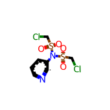 O=S(=O)(CCl)N(c1[c]nccc1)S(=O)(=O)CCl